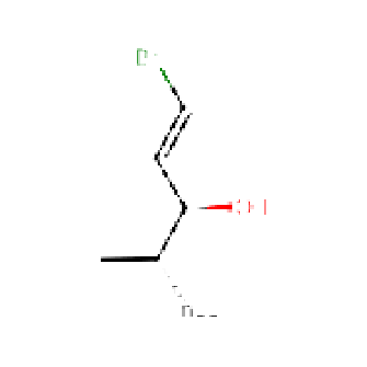 CCCC[C@H](C)[C@H](O)/C=C/Br